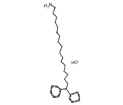 Cl.NCCCCCCCCCCCCCCCCCC(c1ccccc1)c1ccccc1